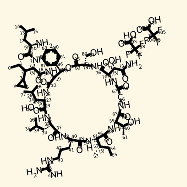 CCC(C1CC1)[C@H](NC(=O)[C@H](N)CC(C)C)C(=O)N[C@@H]1C(=O)N[C@@H]([C@H](O)C(C)C)C(=O)N[C@@H](CC(C)C)C(=O)N[C@H](CCCNC(=N)N)C(=O)N[C@@H]([C@@H](C)CC)C(=O)N[C@@H]([C@H](C)O)C(=O)NCC(=O)N[C@@H]([C@H](O)C(N)=O)C(=O)N[C@@H](CO)C(=O)O[C@@H]1c1ccccc1.O=C(O)C(F)(F)F.O=C(O)C(F)(F)F